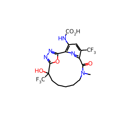 CN1CCCCCC(O)(C(F)(F)F)c2nnc(o2)-c2nc(c(C(F)(F)F)cc2NC(=O)O)C1=O